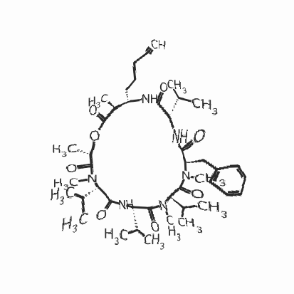 C#CCCC[C@@H]1NC(=O)[C@H](C(C)C)NC(=O)[C@@H](Cc2ccccc2)N(C)C(=O)[C@@H](C(C)C)N(C)C(=O)[C@H](C(C)C)NC(=O)[C@H](C(C)C)N(C)C(=O)[C@H](C)OC(=O)[C@H]1C